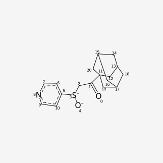 O=C(C[S+]([O-])c1ccncc1)C12CC3CC(CC(C3)C1)C2